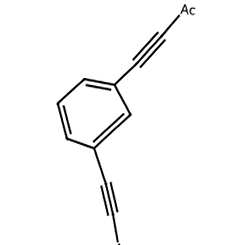 CC(=O)C#Cc1cccc(C#CC(C)=O)c1